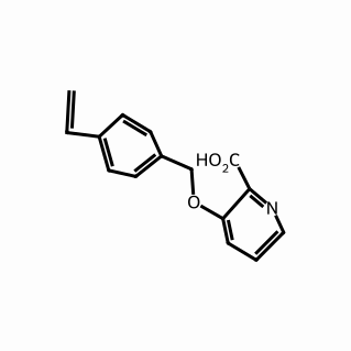 C=Cc1ccc(COc2cccnc2C(=O)O)cc1